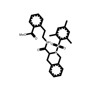 COC(=O)c1ccccc1CCNC(=O)C1Cc2ccccc2CN1S(=O)(=O)c1c(C)cc(C)cc1C